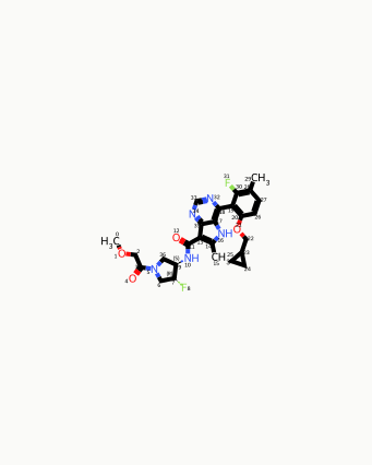 COCC(=O)N1C[C@@H](F)[C@@H](NC(=O)c2c(C)[nH]c3c(-c4c(OCC5CC5)ccc(C)c4F)ncnc23)C1